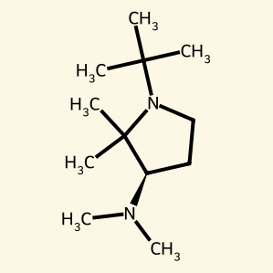 CN(C)[C@@H]1CCN(C(C)(C)C)C1(C)C